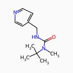 CN(C(=O)NCc1ccncc1)C(C)(C)C